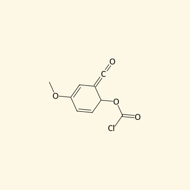 COC1=CC(=C=O)C(OC(=O)Cl)C=C1